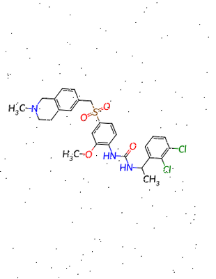 COc1cc(S(=O)(=O)Cc2ccc3c(c2)CCN(C)C3)ccc1NC(=O)NC(C)c1cccc(Cl)c1Cl